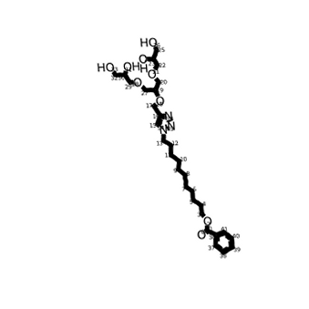 O=C(OCCCCCCCCCCCn1cc(COC(COCC(O)CO)COCC(O)CO)nn1)c1ccccc1